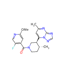 COc1cc(C(=O)N2CC[C@@H](C)[C@H](c3cc(C)nc4ncnn34)C2)c(F)cn1